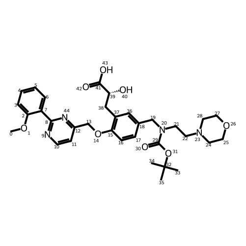 COc1ccccc1-c1nccc(COc2ccc(CN(CCN3CCOCC3)C(=O)OC(C)(C)C)cc2C[C@@H](O)C(=O)O)n1